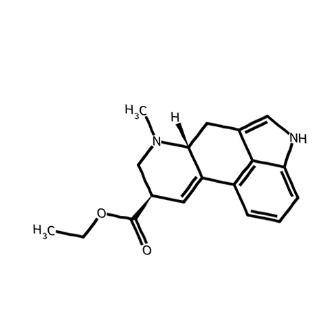 CCOC(=O)[C@@H]1C=C2c3cccc4[nH]cc(c34)C[C@H]2N(C)C1